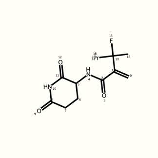 C=C(C(=O)NC1CCC(=O)NC1=O)C(C)(F)C(C)C